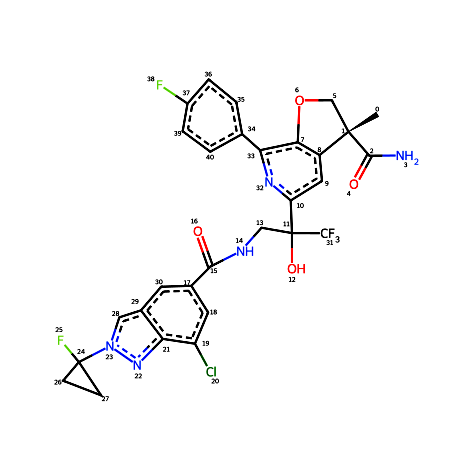 C[C@]1(C(N)=O)COc2c1cc(C(O)(CNC(=O)c1cc(Cl)c3nn(C4(F)CC4)cc3c1)C(F)(F)F)nc2-c1ccc(F)cc1